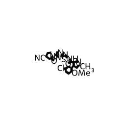 COc1ccc(Cl)cc1-c1cc(C)ncc1C(=O)Nc1nc2ncc(N3CCC(C#N)CC3=O)nc2s1